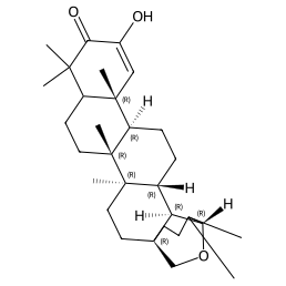 CC1(C)C(=O)C(O)=C[C@@]2(C)C1CC[C@]1(C)[C@@H]2CC[C@@H]2[C@H]3[C@H]4OC[C@@]3(CCC4(C)C)CC[C@]21C